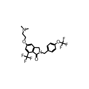 CN(C)CCOc1cc2c(c(C(F)(F)F)c1)C(=O)N(Cc1ccc(OC(F)(F)F)cc1)C2